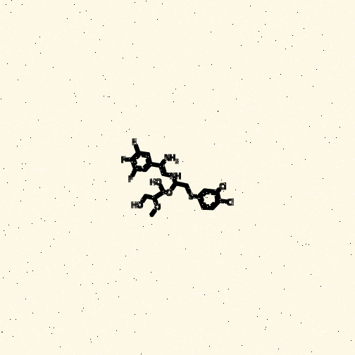 COC(CO)C(O)OC(CSc1ccc(Cl)c(Cl)c1)N/C=C(\N)c1cc(F)c(F)c(F)c1